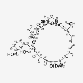 CO[C@H]1C(=O)[C@@H](C)C[C@H](C)/C=C/C=C/C=C(\C)[C@@H](CO)C[C@@H]2CC[C@@H](C)[C@@](O)(O2)C(=O)C(=O)N2CCCC[C@H]2C(=O)O[C@H]([C@H](CO)C[C@@H]2CC[C@H](C)[C@H](CO)C2)CC(=O)[C@H](C)/C=C(\C)[C@H]1O